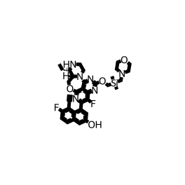 C#Cc1c(F)ccc2cc(O)cc(-c3nc4c5c(nc(OC[Si](C)(C)CN6CCOCC6)nc5c3F)N3CCN[C@@H](CC)[C@H]3CO4)c12